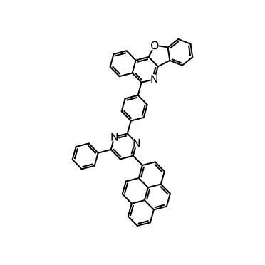 c1ccc(-c2cc(-c3ccc4ccc5cccc6ccc3c4c56)nc(-c3ccc(-c4nc5c6ccccc6oc5c5ccccc45)cc3)n2)cc1